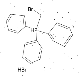 Br.BrC[PH](c1ccccc1)(c1ccccc1)c1ccccc1